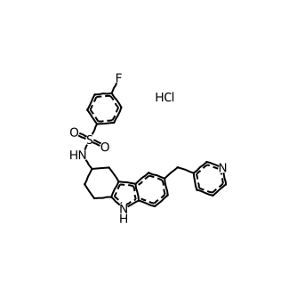 Cl.O=S(=O)(NC1CCc2[nH]c3ccc(Cc4cccnc4)cc3c2C1)c1ccc(F)cc1